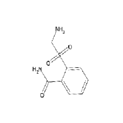 NCS(=O)(=O)c1ccccc1C(N)=O